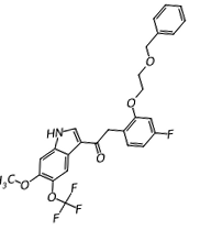 COc1cc2[nH]cc(C(=O)Cc3ccc(F)cc3OCCOCc3ccccc3)c2cc1OC(F)(F)F